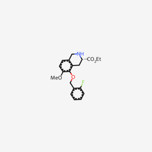 CCOC(=O)[C@@H]1Cc2c(ccc(OC)c2OCc2ccccc2F)CN1